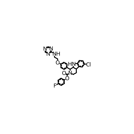 O=C(Oc1ccc(F)cc1)N1CCC2c3cc(Cl)ccc3NC2C1c1ccc(OCCNc2ncncn2)cc1